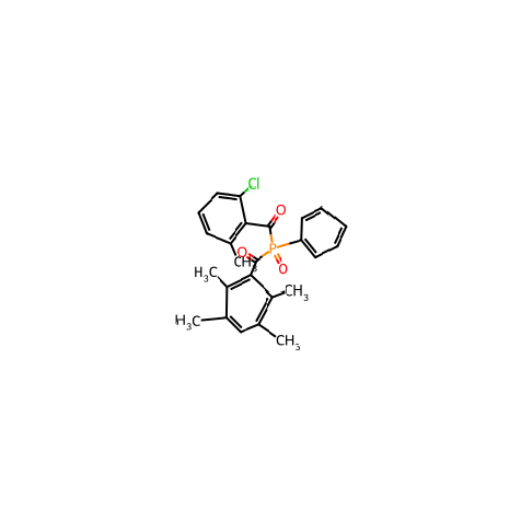 Cc1cc(C)c(C)c(C(=O)P(=O)(C(=O)c2c(C)cccc2Cl)c2ccccc2)c1C